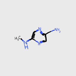 CNc1cnc(N)cn1